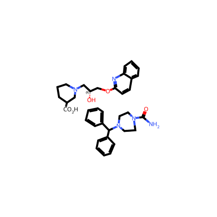 NC(=O)N1CCN(C(c2ccccc2)c2ccccc2)CC1.O=C(O)C1CCCN(C[C@@H](O)COc2ccc3ccccc3n2)C1